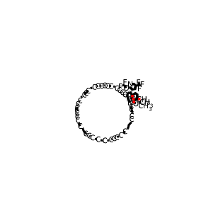 CC(C)(C)OC(=O)N1CCCCCCCCCCCCCCCCCCCCCCCCCCCCCCCCCCCCCCCCCCCCCCCCC[C@@]2(C[C@H](c3cc(C(F)(F)F)cnc3OC(F)F)CO2)[C@@H]1c1ccccc1